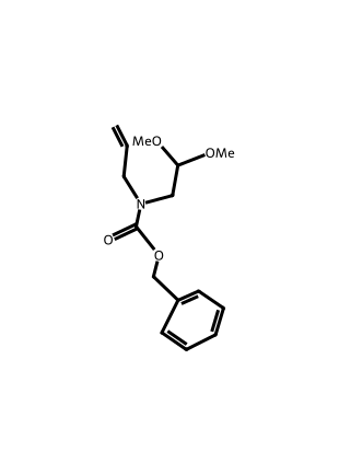 C=CCN(CC(OC)OC)C(=O)OCc1ccccc1